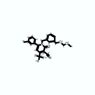 COCOCc1cccc(Cn2c(-c3cccc(C)c3)cc(C(F)(F)F)c(C#N)c2=O)c1